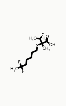 CC(C)C(C)(SCCCCCC(C)(F)F)C(=O)O